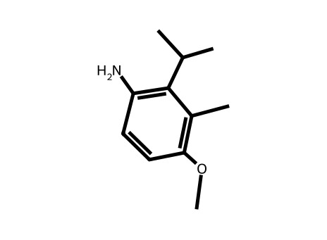 COc1ccc(N)c(C(C)C)c1C